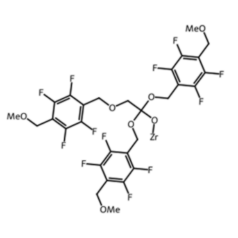 COCc1c(F)c(F)c(COCC([O][Zr])(OCc2c(F)c(F)c(COC)c(F)c2F)OCc2c(F)c(F)c(COC)c(F)c2F)c(F)c1F